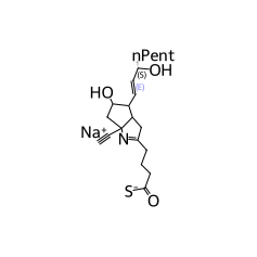 C#CC12CC(O)C(/C=C/[C@@H](O)CCCCC)C1CC(CCCC(=O)[S-])=N2.[Na+]